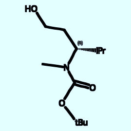 CC(C)[C@@H](CCO)N(C)C(=O)OC(C)(C)C